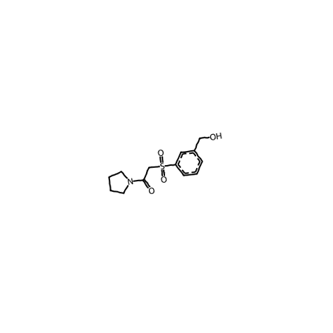 O=C(CS(=O)(=O)c1cccc(CO)c1)N1CCCC1